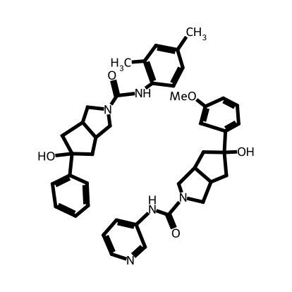 COc1cccc(C2(O)CC3CN(C(=O)Nc4cccnc4)CC3C2)c1.Cc1ccc(NC(=O)N2CC3CC(O)(c4ccccc4)CC3C2)c(C)c1